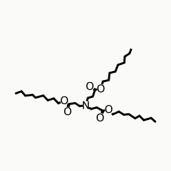 CCCCCCCCCOC(=O)CCN(CCC(=O)OCCCCCCCCC)CCC(=O)OCCCCCCCCC